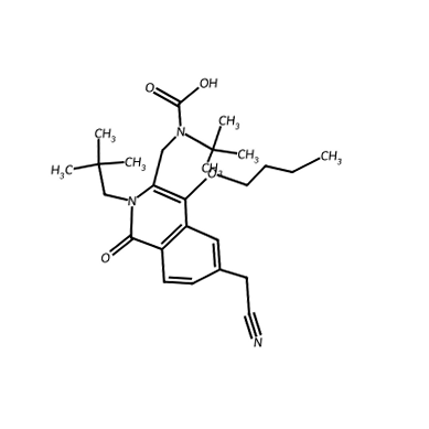 CCCCOc1c(CN(C(=O)O)C(C)(C)C)n(CC(C)(C)C)c(=O)c2ccc(CC#N)cc12